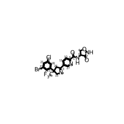 O=C(NC1CONC1=O)c1ccc(C2=NCC(c3cc(Cl)cc(Br)c3)(C(F)(F)F)C2)cn1